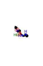 Cc1ccc(S(=O)(=O)n2ccc3c(OCC(O)CNC(C)(C)Cc4c[nH]c5ccccc45)cccc32)cc1.Cl